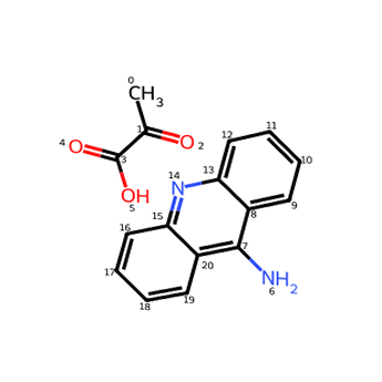 CC(=O)C(=O)O.Nc1c2ccccc2nc2ccccc12